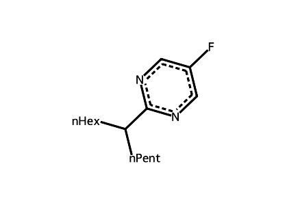 CCCCCCC(CCCCC)c1ncc(F)cn1